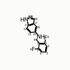 Fc1cccc(F)c1CNc1ccc2[nH]ncc2c1